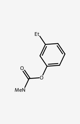 CCc1cccc(OC(=O)NC)c1